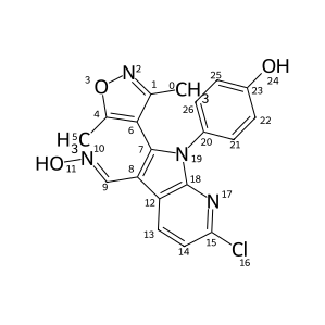 Cc1noc(C)c1-c1c(/C=N/O)c2ccc(Cl)nc2n1-c1ccc(O)cc1